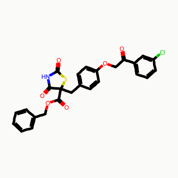 O=C1NC(=O)C(Cc2ccc(OCC(=O)c3cccc(Cl)c3)cc2)(C(=O)OCc2ccccc2)S1